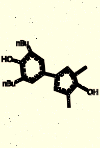 CCCCc1cc(-c2cc(C)c(O)c(C)c2)cc(CCCC)c1O